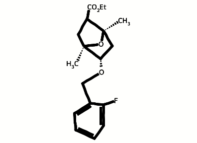 CCOC(=O)C1C[C@@]2(C)O[C@]1(C)C[C@@H]2OCc1ccccc1F